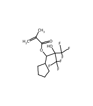 C=C(C)C(=O)OC(C1CCCC1)C(O)(C(F)(F)F)C(F)(F)F